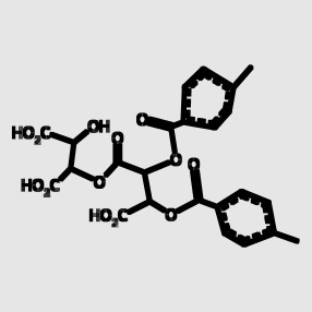 Cc1ccc(C(=O)OC(C(=O)O)C(OC(=O)c2ccc(C)cc2)C(=O)OC(C(=O)O)C(O)C(=O)O)cc1